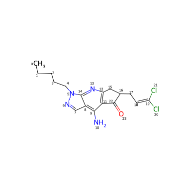 CCCCCn1ncc2c(N)c3c(nc21)CC(CC=C(Cl)Cl)C3=O